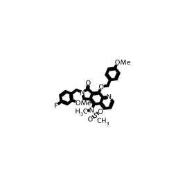 COc1ccc(COc2c3c(c(N(C)S(C)(=O)=O)c4cccnc24)CN(Cc2ccc(F)cc2OC)C3=O)cc1